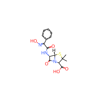 CC1(C)S[C@H]2[C@H](NC(=O)C(=NO)c3ccccc3)C(=O)N2C1C(=O)O